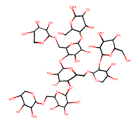 OCC1OC(OC2C(OCC3OC(OC4C(COC5OCC(O)C(O)C5O)OC(OC5C(CO)OC(O)C(O)C5O)C(O)C4O)C(O)C(O)C3OC3OC(COC4OCC(O)C(O)C4O)C(O)C(O)C3O)OCC(O)C2O)C(O)C(O)C1O